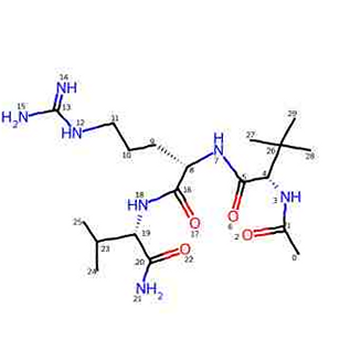 CC(=O)N[C@H](C(=O)N[C@@H](CCCNC(=N)N)C(=O)N[C@H](C(N)=O)C(C)C)C(C)(C)C